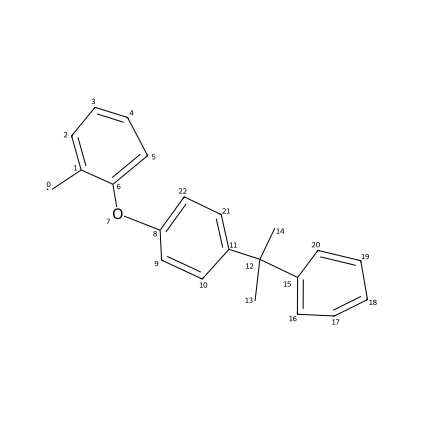 [CH2]c1ccccc1Oc1ccc(C(C)(C)c2ccccc2)cc1